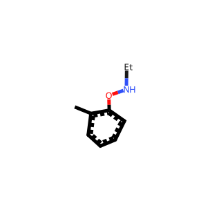 CCNOc1ccccc1C